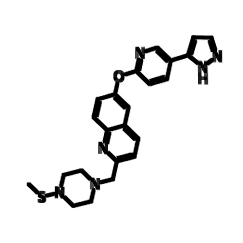 CSN1CCN(Cc2ccc3cc(Oc4ccc(-c5ccn[nH]5)cn4)ccc3n2)CC1